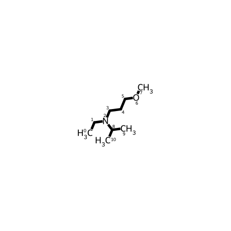 CCN(CCCOC)C(C)C